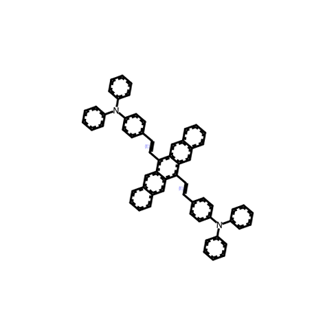 C(=C\c1c2cc3ccccc3cc2c(/C=C/c2ccc(N(c3ccccc3)c3ccccc3)cc2)c2cc3ccccc3cc12)/c1ccc(N(c2ccccc2)c2ccccc2)cc1